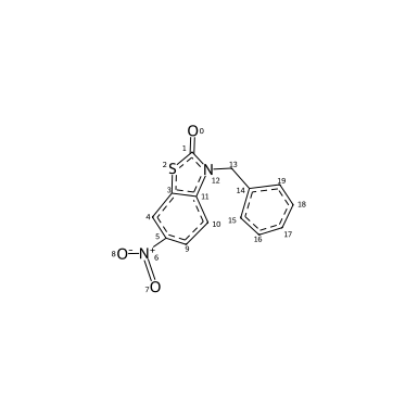 O=c1sc2cc([N+](=O)[O-])ccc2n1Cc1ccccc1